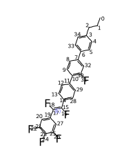 CCCc1ccc(-c2ccc(-c3ccc(/C(F)=C(\F)c4cc(F)c(F)c(F)c4)cc3)c(F)c2)cc1